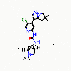 CC(=O)N1C[C@H]2C[C@@H]1C[C@@H]2NC(=O)Nc1cc(-c2cnn3c2CC(C)(C)C3)c(Cl)cn1